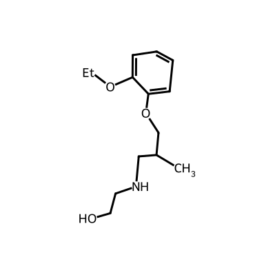 CCOc1ccccc1OCC(C)CNCCO